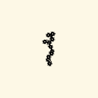 c1ccc(-c2nc(-c3ccc(-c4ccc5ccc(-c6ccc7ccc(-c8ccccn8)nc7c6)nc5c4)cc3)cc(-c3cccc(-n4c5ccccc5c5ccccc54)c3)n2)cc1